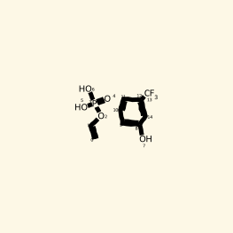 C=COP(=O)(O)O.Oc1cccc(C(F)(F)F)c1